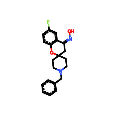 O/N=C1/CC2(CCN(Cc3ccccc3)CC2)Oc2ccc(F)cc21